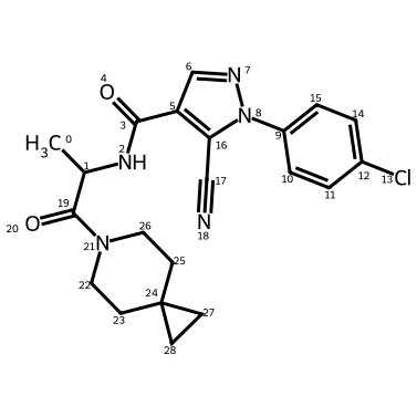 CC(NC(=O)c1cnn(-c2ccc(Cl)cc2)c1C#N)C(=O)N1CCC2(CC1)CC2